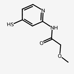 COCC(=O)Nc1cc(S)ccn1